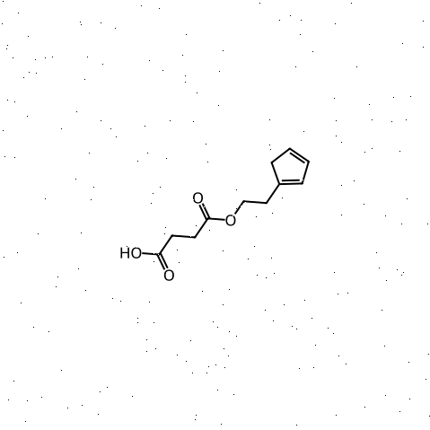 O=C(O)CCC(=O)OCCC1=CC=CC1